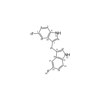 Fc1ccc2[nH]cc(Cc3c[nH]c4ccc(F)cc34)c2c1